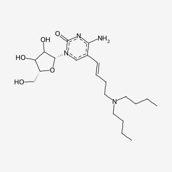 CCCCN(CCC=Cc1cn([C@@H]2O[C@H](CO)C(O)C2O)c(=O)nc1N)CCCC